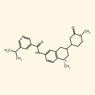 CC(C)c1cncc(C(=O)Nc2ccc3c(c2)CN(C2CCN(C)C(=O)C2)C[C@@H]3C)c1